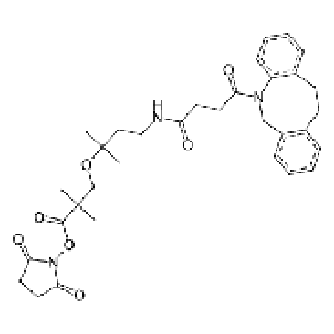 CC(C)(CCNC(=O)CCC(=O)N1Cc2ccccc2CCc2ccccc21)OCC(C)(C)C(=O)ON1C(=O)CCC1=O